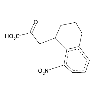 O=C(O)C(=O)CC1CCCc2cccc([N+](=O)[O-])c21